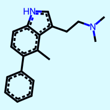 Cc1c(-c2ccccc2)ccc2[nH]cc(CCN(C)C)c12